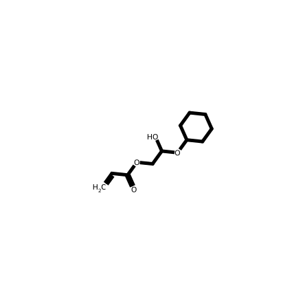 C=CC(=O)OCC(O)OC1CCCCC1